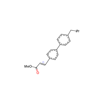 COC(=O)/C=C/c1ccc(-c2ccc(CC(C)C)cc2)cc1